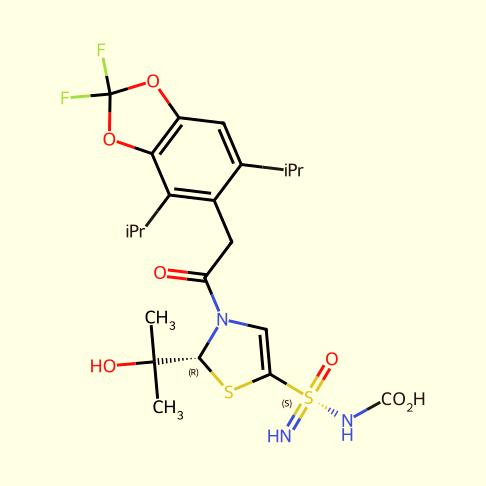 CC(C)c1cc2c(c(C(C)C)c1CC(=O)N1C=C([S@](=N)(=O)NC(=O)O)S[C@@H]1C(C)(C)O)OC(F)(F)O2